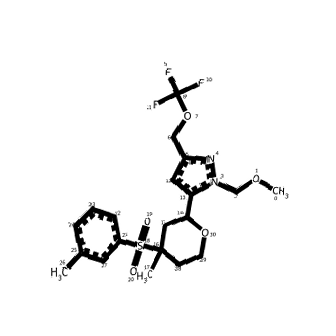 COCn1nc(COC(F)(F)F)cc1C1CC(C)(S(=O)(=O)c2cccc(C)c2)CCO1